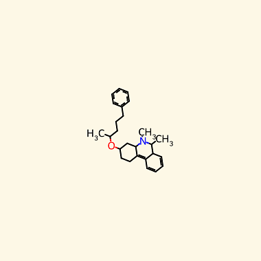 CC(CCCc1ccccc1)OC1CCC2=C3C=CC=CC3C(C)N(C)C2C1